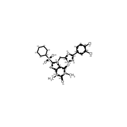 Cn1c(=O)c2c(nc(S(=O)(=O)C3CCCCC3)n2Cc2nnc(-c3ccc(Cl)c(Cl)c3)o2)n(C)c1=O